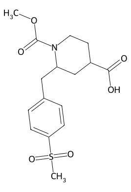 COC(=O)N1CCC(C(=O)O)CC1Cc1ccc(S(C)(=O)=O)cc1